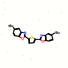 CC(C)(C)c1ccc2oc(-c3ccc(-c4nc5cc(C(C)(C)C)ccc5o4)s3)nc2c1